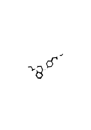 CCOC(=O)C=C1CCC(N[C@@H]2C[C@H](C)N(C(=O)CC)c3ccccc32)CC1